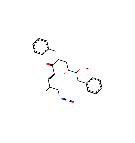 CC(C=CC(=O)[C@H](Cc1ccccc1)C[C@H](O)[C@H](Cc1ccccc1)OC(C)(C)C)CN=C=O